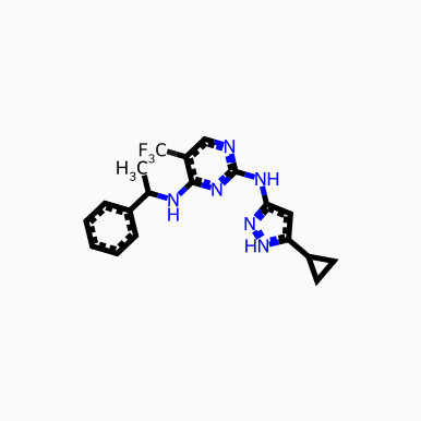 CC(Nc1nc(Nc2cc(C3CC3)[nH]n2)ncc1C(F)(F)F)c1ccccc1